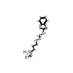 CCO[SiH2]CCCSSSSc1nc2ccccc2s1